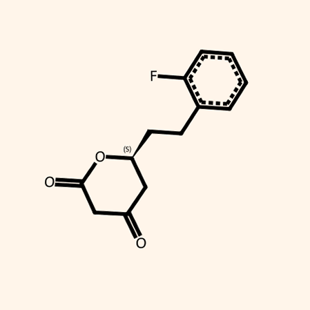 O=C1CC(=O)O[C@@H](CCc2ccccc2F)C1